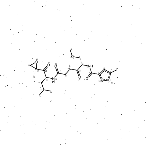 COC[C@H](NC(=O)c1cc(C)on1)C(=O)NCC(=O)N[C@@H](CC(C)C)C(=O)[C@@]1(C)CO1